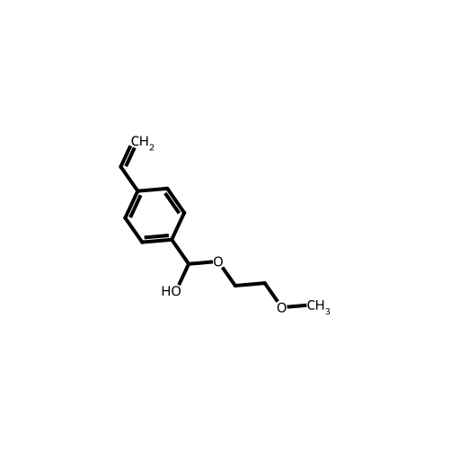 C=Cc1ccc(C(O)OCCOC)cc1